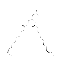 Br.CCCCCCCC/C=C\CCCCCCCC(=O)OCC(CN(C)C)OC(=O)CCCCCCC/C=C\CCCCCCCC